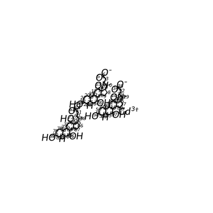 C[C@H](CCC(=O)[O-])[C@H]1CCC2C3C(C[C@H](O)[C@@]21C)[C@@]1(C)CC[C@@H](O)C[C@H]1C[C@H]3O.C[C@H](CCC(=O)[O-])[C@H]1CCC2C3C(C[C@H](O)[C@@]21C)[C@@]1(C)CC[C@@H](O)C[C@H]1C[C@H]3O.C[C@H](CCC(=O)[O-])[C@H]1CCC2C3C(C[C@H](O)[C@@]21C)[C@@]1(C)CC[C@@H](O)C[C@H]1C[C@H]3O.[Gd+3]